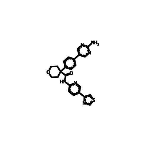 Nc1ncc(-c2ccc(C3(C(=O)Nc4ccc(-c5cscn5)cn4)CCOCC3)cc2)cn1